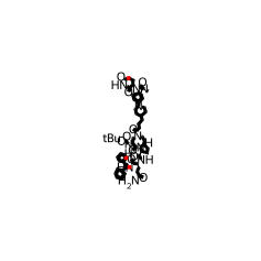 Cn1c(=O)n(C2CCC(=O)NC2=O)c2ccc(N3CCC(CCCC(=O)N4CC[C@H]5CC[C@@H](C(=O)N[C@@H](CCC(N)=O)C(=O)NC(c6ccccc6)c6ccccc6)N5C(=O)[C@@H](NC(=O)OC(C)(C)C)C4)CC3)cc21